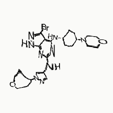 Brc1n[nH]c2nc(Nc3cnn(C4CCOCC4)c3)nc(N[C@H]3CC[C@H](N4CCOCC4)CC3)c12